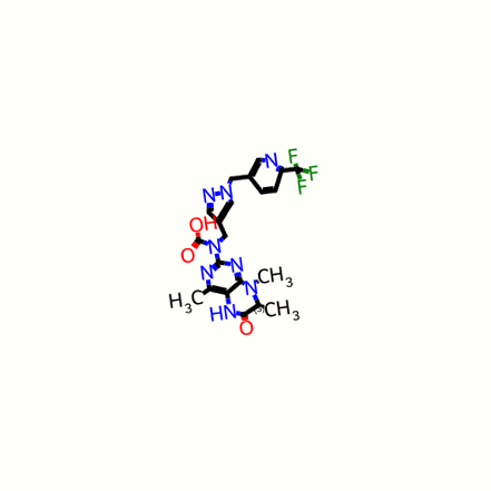 Cc1nc(N(Cc2cnn(Cc3ccc(C(F)(F)F)nc3)c2)C(=O)O)nc2c1NC(=O)[C@H](C)N2C